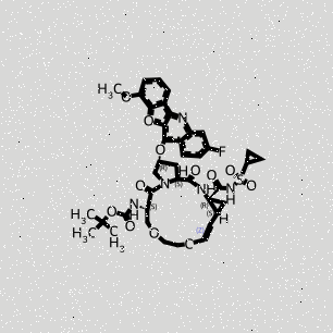 COc1cccc2c1oc1c(O[C@@H]3C[C@H]4C(=O)N[C@]5(C(=O)NS(=O)(=O)C6CC6)C[C@H]5/C=C\CCCOC[C@H](NC(=O)OC(C)(C)C)C(=O)N4C3)c3ccc(F)cc3nc12